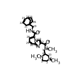 CN1CCN(C)C(CN(C)C(=O)c2cn3c(C(=O)NCC45CC=CC(CC4)C5)cccc3n2)C1